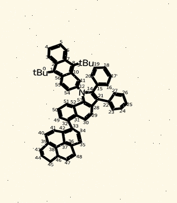 CC(C)(C)c1c2ccccc2c(C(C)(C)C)c2cc(-n3c(-c4ccccc4)c(-c4ccccc4)c4ccc5c(-c6ccc7c8c9c(ccc68)C=CCC9C=C7)cccc5c43)ccc12